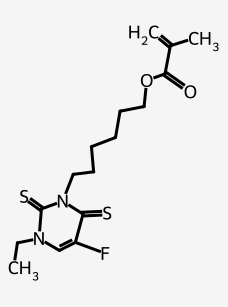 C=C(C)C(=O)OCCCCCCn1c(=S)c(F)cn(CC)c1=S